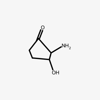 NC1C(=O)CCC1O